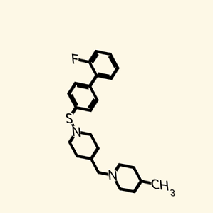 CC1CCN(CC2CCN(Sc3ccc(-c4ccccc4F)cc3)CC2)CC1